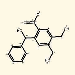 O=[N+]([O-])c1cc(CO)c(CO)cc1C(O)c1ccccc1